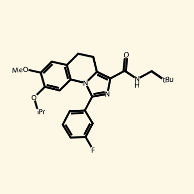 COc1cc2c(cc1OC(C)C)-n1c(-c3cccc(F)c3)nc(C(=O)NCC(C)(C)C)c1CC2